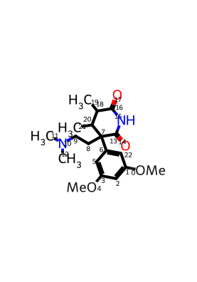 COc1cc(OC)cc(C2(CCN(C)C)C(=O)NC(=O)C(C)C2C)c1